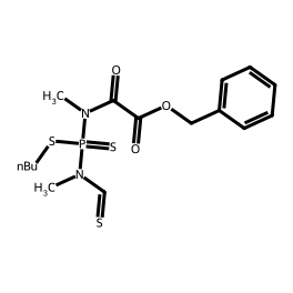 CCCCSP(=S)(N(C)C=S)N(C)C(=O)C(=O)OCc1ccccc1